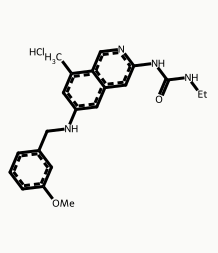 CCNC(=O)Nc1cc2cc(NCc3cccc(OC)c3)cc(C)c2cn1.Cl